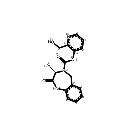 CCC[C@H]1C(=O)Nc2ccccc2CN1C(=O)Nc1cccnc1CO